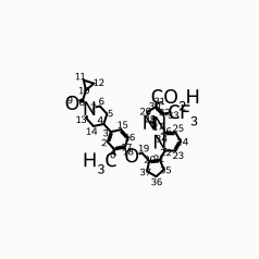 Cc1cc(C2CCN(C(=O)C3CC3)CC2)ccc1OCC1=C(c2cccc(-n3ncc(C(=O)O)c3C(F)(F)F)n2)CCC1